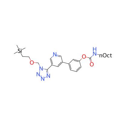 CCCCCCCCNC(=O)Oc1cccc(-c2cncc(-c3nnnn3COCC[Si](C)(C)C)c2)c1